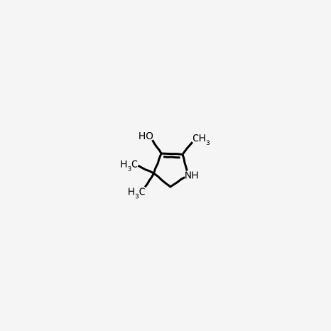 CC1=C(O)C(C)(C)CN1